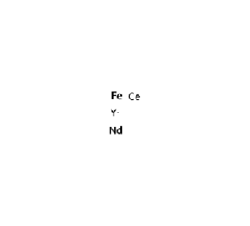 [Ce].[Fe].[Nd].[Y]